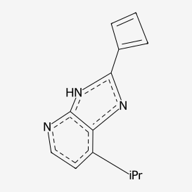 CC(C)c1ccnc2[nH]c(C3=CC=C3)nc12